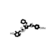 COc1ccc(-c2nc(-c3cc(OC(=O)NCC4C(C)C(O)CCC4(C)C)c(C)n3CC3CCCCC3)cs2)cc1